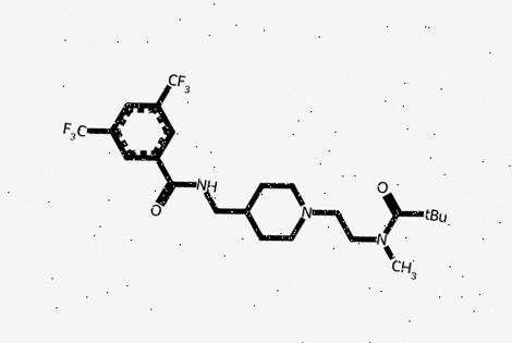 CN(CCN1CCC(CNC(=O)c2cc(C(F)(F)F)cc(C(F)(F)F)c2)CC1)C(=O)C(C)(C)C